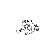 CSc1cc2c(cc1Sc1nc3c(N)nccc3n1CCN)OCO2